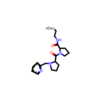 CCCCCCCCCCCCNC(=O)C1CCCN1C(=O)C1CCCN1Cc1ccccn1